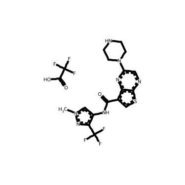 Cn1cc(NC(=O)c2csc3ncc(N4CCNCC4)nc23)c(C(F)(F)F)n1.O=C(O)C(F)(F)F